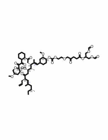 C=CC[C@H](/C=C(\C)C[C@H](C)CC)C(=O)C[C@H](O)[C@@H](C)[C@H](CC(=O)[C@@H]1CCCCC1C(=O)C(=O)[C@]1(O)OC[C@@H](OC)C[C@H]1C)/C(C)=C/C1CC[C@@H](OC(=O)OCCOCC(=O)CCC(=O)OC(COC=O)COC=O)[C@H](OC)C1